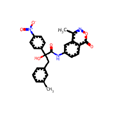 Cc1cccc(CC(O)(C(=O)Nc2ccc3c(=O)onc(C)c3c2)c2ccc([N+](=O)[O-])cc2)c1